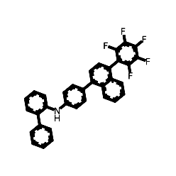 Fc1c(F)c(F)c(-c2ccc(-c3ccc(Nc4ccccc4-c4ccccc4)cc3)c3ccccc23)c(F)c1F